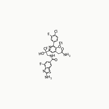 CCOc1c(CC(N)=O)cc([C@@](O)(CNC(=O)c2cc(F)c3nc(N)sc3c2)C(F)(F)F)nc1-c1ccc(Cl)c(F)c1